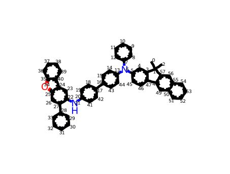 CC1(C)c2cc(N(c3ccccc3)c3ccc(-c4ccc(Nc5cc6c(cc5-c5ccccc5)oc5ccccc56)cc4)cc3)ccc2-c2cc3ccccc3cc21